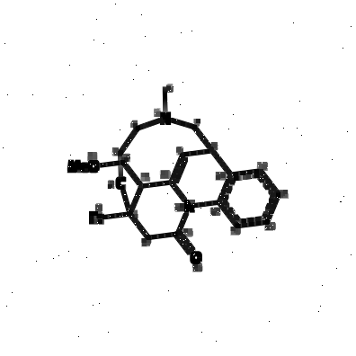 CCC12CCCN(C)CC3C=C(C1COC)N(C(=O)C2)c1ccccc13